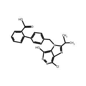 CC(C)c1nc2c(Cl)nnc(O)c2n1Cc1ccc(-c2ccccc2C(=O)O)cc1